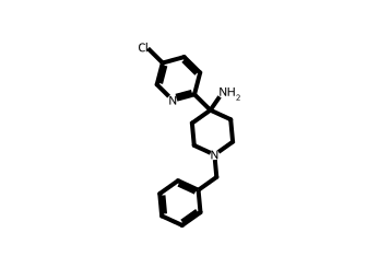 NC1(c2ccc(Cl)cn2)CCN(Cc2ccccc2)CC1